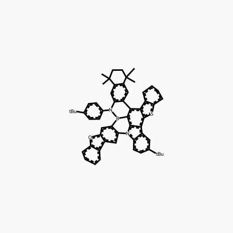 CC(C)(C)c1ccc(N2B3c4cc5oc6ccccc6c5cc4-n4c5ccc(C(C)(C)C)cc5c5c6sc7ccccc7c6c(c3c54)-c3cc4c(cc32)C(C)(C)CCC4(C)C)cc1